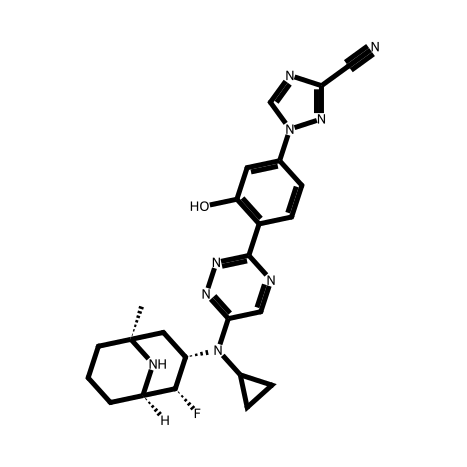 C[C@@]12CCC[C@@H](N1)[C@@H](F)[C@@H](N(c1cnc(-c3ccc(-n4cnc(C#N)n4)cc3O)nn1)C1CC1)C2